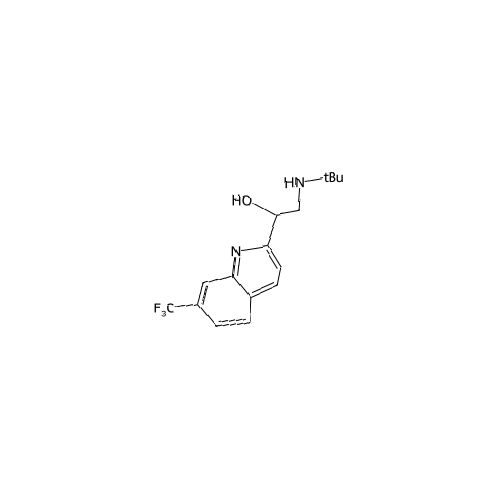 CC(C)(C)NCC(O)c1ccc2ccc(C(F)(F)F)cc2n1